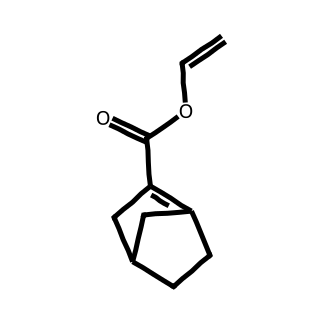 C=COC(=O)C1=C2CCC(C2)C1